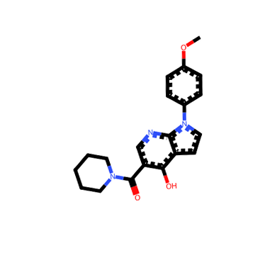 COc1ccc(-n2ccc3c(O)c(C(=O)N4CCCCC4)cnc32)cc1